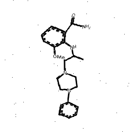 COc1cccc(C(N)=O)c1NC(C)CN1CCN(c2ccccc2)CC1